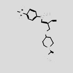 C=C/C(=C\N(N)c1ccc(S(C)(=O)=O)cc1)COC1CCN(C(=O)OC(C)(C)C)CC1